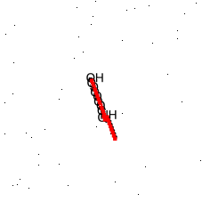 CCCCCCCCCCCCc1ccc(C(=O)NCCOCCOCCOCCOCCOCCOCCOCCO)cc1